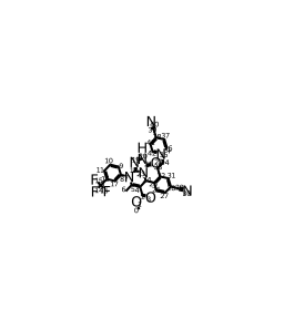 COC(=O)C1=C(C)N(c2cccc(C(F)(F)F)c2)c2n[nH]c(=O)n2C1c1ccc(C#N)cc1CC[n+]1ccc(C#N)cc1